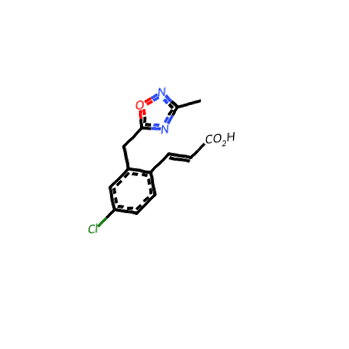 Cc1noc(Cc2cc(Cl)ccc2C=CC(=O)O)n1